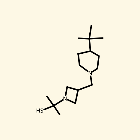 CC(C)(C)C1CCN(CC2CN(C(C)(C)S)C2)CC1